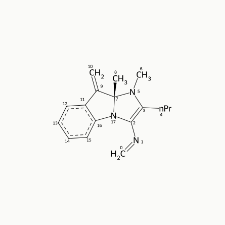 C=NC1=C(CCC)N(C)[C@@]2(C)C(=C)c3ccccc3N12